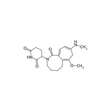 CNC1=CC=C2C(=O)N(C3CCC(=O)NC3=O)CCCCC2=C(OC)C1